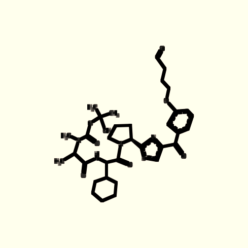 CC(C(=O)NC(C(=O)N1CCC[C@H]1c1nc(C(=O)c2cccc(OCCCC=O)c2)cs1)C1CCCCC1)N(C)C(=O)OC(C)(C)C